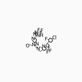 COCCn1c(CN2CCc3cc(C(F)(F)F)c(OCc4ccc(Cl)cc4F)nc3C2)nc2cc(-c3nnc(C(F)(F)F)[nH]3)ncc21